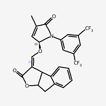 CC1=C[C@H](O/C=C2/C(=O)OC3Cc4ccccc4C23)N(c2cc(C(F)(F)F)cc(C(F)(F)F)c2)C1=O